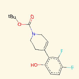 CC(C)(C)OC(=O)N1CC=C(c2c(O)ccc(F)c2F)CC1